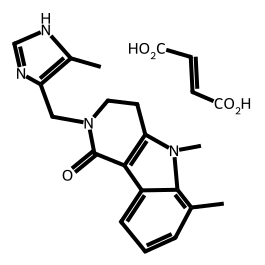 Cc1[nH]cnc1CN1CCc2c(c3cccc(C)c3n2C)C1=O.O=C(O)C=CC(=O)O